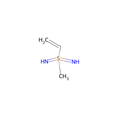 C=CS(C)(=N)=N